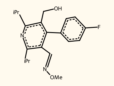 CO/N=C/c1c(C(C)C)nc(C(C)C)c(CO)c1-c1ccc(F)cc1